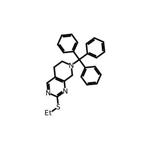 CCSc1ncc2c(n1)CN(C(c1ccccc1)(c1ccccc1)c1ccccc1)CC2